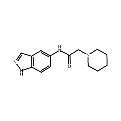 O=C(CN1CCCCC1)Nc1ccc2[nH]ncc2c1